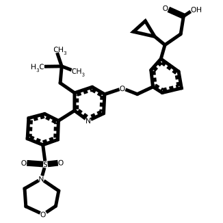 CC(C)(C)Cc1cc(OCc2cccc(C(CC(=O)O)C3CC3)c2)cnc1-c1cccc(S(=O)(=O)N2CCOCC2)c1